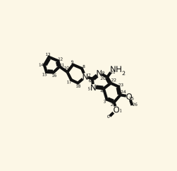 COc1cc2nc(N3CCC(c4ccccc4)CC3)nc(N)c2cc1OC